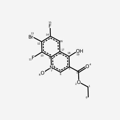 CCOC(=O)c1c[n+]([O-])c2c(F)c(Br)c(F)cc2c1O